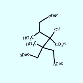 CCCCCCCCCCCC(C(=O)O)C(O)(C(=O)O)C(CCCCCCCCCCC)(CCCCCCCCCCC)C(=O)O